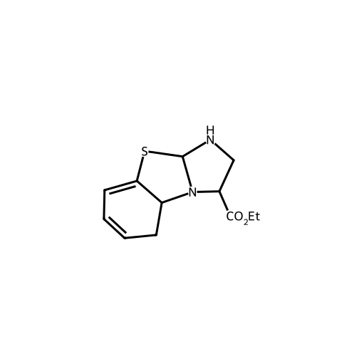 CCOC(=O)C1CNC2SC3=CC=CCC3N21